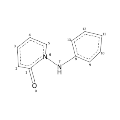 O=c1ccccn1Nc1ccccc1